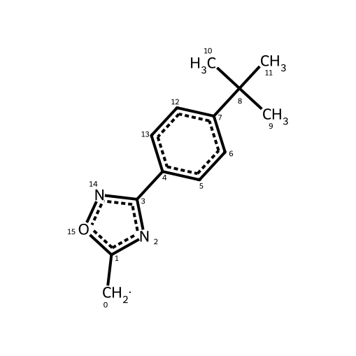 [CH2]c1nc(-c2ccc(C(C)(C)C)cc2)no1